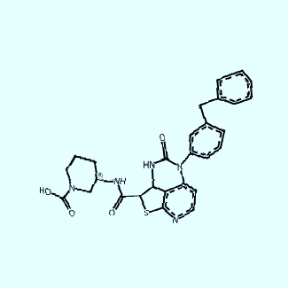 O=C(N[C@@H]1CCCN(C(=O)O)C1)C1Sc2nccc3c2C1NC(=O)N3c1cccc(Cc2ccccc2)c1